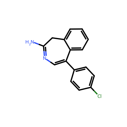 NC1=NC=C(c2ccc(Cl)cc2)c2ccccc2C1